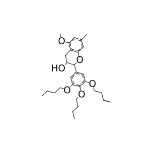 CCCCOc1cc(C2Oc3cc(C)cc(OC)c3CC2O)cc(OCCCC)c1OCCCC